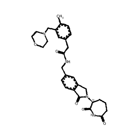 Cc1ccc(CC(=O)NCc2ccc3c(c2)CN([C@H]2CCCC(=O)NC2=O)C3=O)cc1CN1CCOCC1